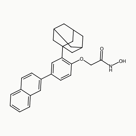 O=C(COc1ccc(-c2ccc3ccccc3c2)cc1C12CC3CC(CC(C3)C1)C2)NO